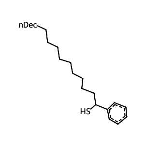 CCCCCCCCCCCCCCCCCCCC(S)c1ccccc1